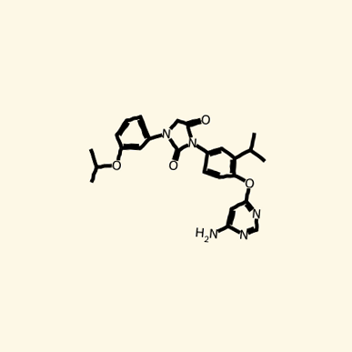 CC(C)Oc1cccc(N2CC(=O)N(c3ccc(Oc4cc(N)ncn4)c(C(C)C)c3)C2=O)c1